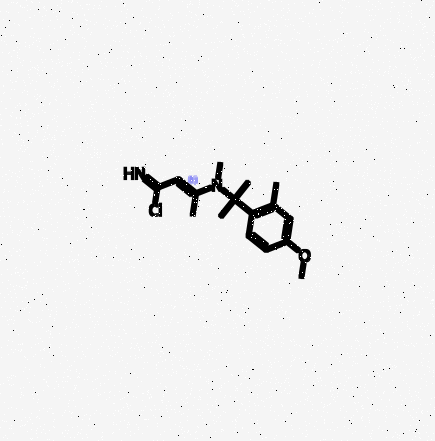 COc1ccc(C(C)(C)N(C)/C(C)=C/C(=N)Cl)c(C)c1